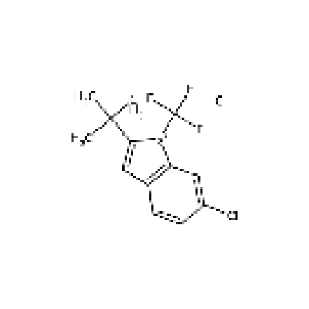 CC(C)(C)c1cc2ccc(Cl)cc2[s+]1C(F)(F)F.[Cl-]